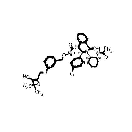 CC(=O)N[C@H]1CCCC[C@@H]1N1C(=O)c2ccccc2[C@@H](C(=O)NOCc2cccc(OCC3=C(O)C(C)(C)O3)c2)[C@@H]1c1ccc(Cl)cc1Cl